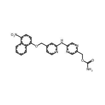 NC(=O)OCc1cnc(Nc2cc(COc3ccc([N+](=O)[O-])c4ccccc34)ccn2)cn1